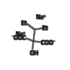 CCC(CC)C(O)(C(=O)[O-])C(=O)[O-].[Na+].[Na+]